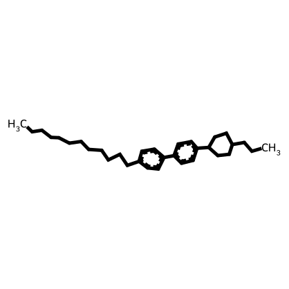 CCCCCCCCCCCCc1ccc(-c2ccc(C3CCC(CCC)CC3)cc2)cc1